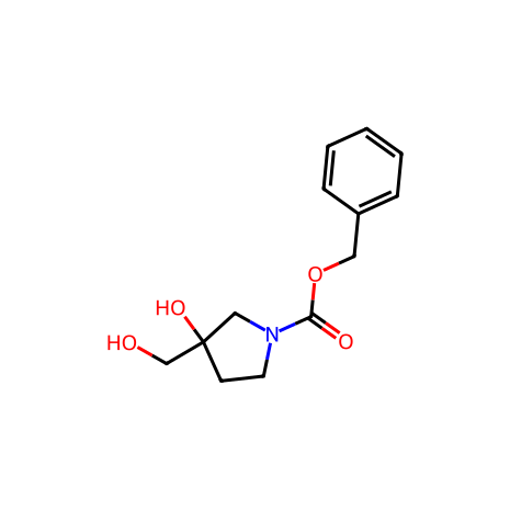 O=C(OCc1ccccc1)N1CCC(O)(CO)C1